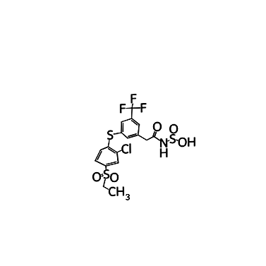 CCS(=O)(=O)c1ccc(Sc2cc(CC(=O)NS(=O)O)cc(C(F)(F)F)c2)c(Cl)c1